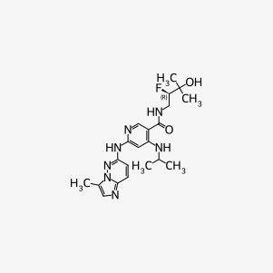 Cc1cnc2ccc(Nc3cc(NC(C)C)c(C(=O)NC[C@@H](F)C(C)(C)O)cn3)nn12